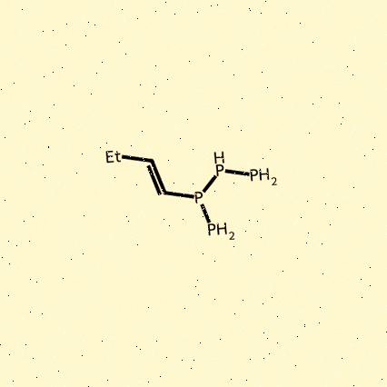 CC/C=C/P(P)PP